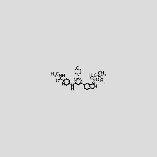 CNC(=O)c1ccc(Nc2cc(-c3ccc4cnn(C(=O)OC(C)(C)C)c4c3)nc(N3CCOCC3)n2)cn1